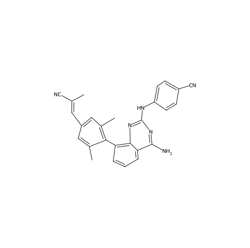 CC(C#N)=Cc1cc(C)c(-c2cccc3c(N)nc(Nc4ccc(C#N)cc4)nc23)c(C)c1